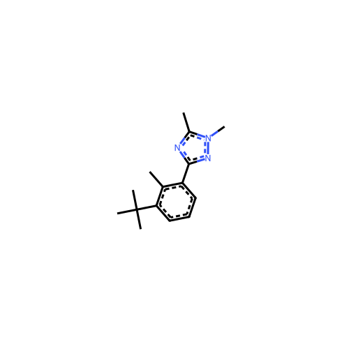 Cc1c(-c2nc(C)n(C)n2)cccc1C(C)(C)C